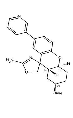 CO[C@@H]1CC[C@@H]2Oc3ccc(-c4cncnc4)cc3C3(COC(N)=N3)[C@H]2C1